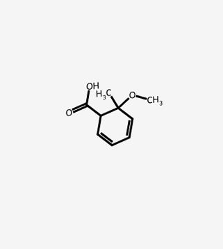 COC1(C)C=CC=CC1C(=O)O